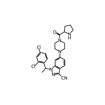 CC(c1ccc(Cl)cc1Cl)n1nc(C#N)c2ccc(N3CCN(C(=O)C4CCCN4)CC3)cc21